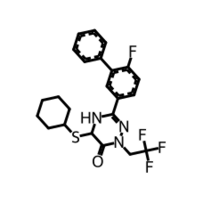 O=C1C(SC2CCCCC2)NC(c2ccc(F)c(-c3ccccc3)c2)=NN1CC(F)(F)F